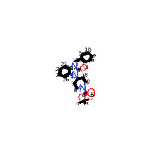 CC(C)(C)OC(=O)N1CCC(n2c(=O)n(Cc3ccccc3)c3ccccc32)CC1